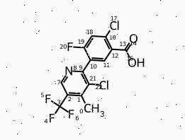 Cc1c(C(F)(F)F)cnc(-c2cc(C(=O)O)c(Cl)cc2F)c1Cl